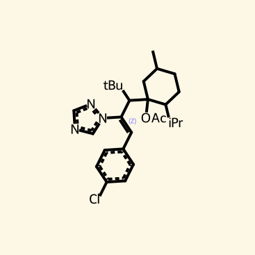 CC(=O)OC1(C(/C(=C/c2ccc(Cl)cc2)n2cncn2)C(C)(C)C)CC(C)CCC1C(C)C